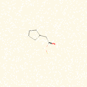 O=C(CC1CCCC1)OS